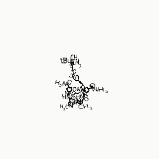 CCn1nc(C)cc1C(=O)Nc1nc2cc(C(N)=O)cc(OC)c2n1C/C=C/Cn1c(NC(=O)c2cc(C)nn2CC)nc2cc(C(N)=O)cc(OCC#CC3CCN(C(=O)OCCO[Si](C)(C)C(C)(C)C)CC3)c21